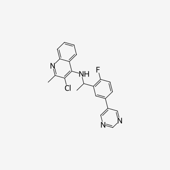 Cc1nc2ccccc2c(NC(C)c2cc(-c3cncnc3)ccc2F)c1Cl